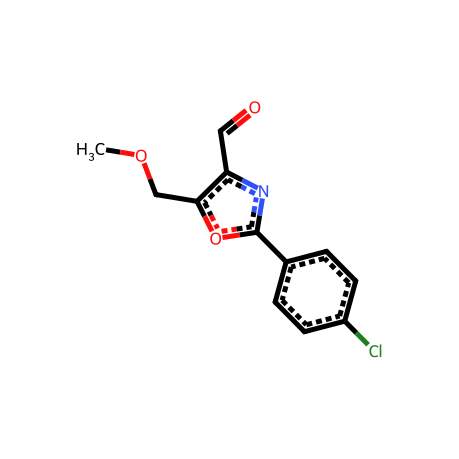 COCc1oc(-c2ccc(Cl)cc2)nc1C=O